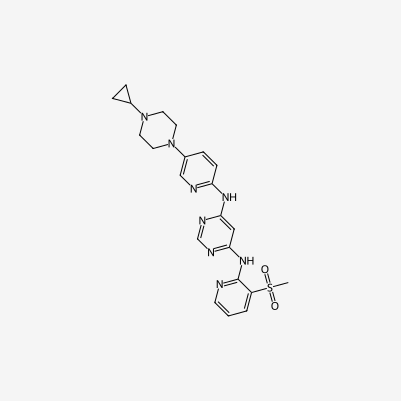 CS(=O)(=O)c1cccnc1Nc1cc(Nc2ccc(N3CCN(C4CC4)CC3)cn2)ncn1